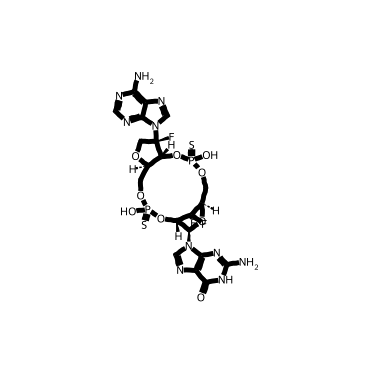 Nc1nc2c(ncn2[C@@H]2O[C@@H]3COP(O)(=S)O[C@@H]4[C@@H](COP(O)(=S)O[C@@H]2C3(F)F)OC[C@]4(F)n2cnc3c(N)ncnc32)c(=O)[nH]1